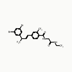 O=C(CNC(=O)c1ccc(/C=C/C(c2cc(Br)cc(Br)c2)C(F)(F)F)cc1C(F)(F)F)NCC(F)(F)F